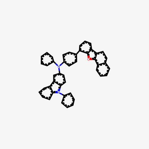 c1ccc(N(c2ccc(-c3cccc4c3oc3c5ccccc5ccc43)cc2)c2ccc3c(c2)c2ccccc2n3-c2ccccc2)cc1